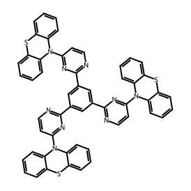 c1ccc2c(c1)Sc1ccccc1N2c1ccnc(-c2cc(-c3nccc(N4c5ccccc5Sc5ccccc54)n3)cc(-c3nccc(N4c5ccccc5Sc5ccccc54)n3)c2)n1